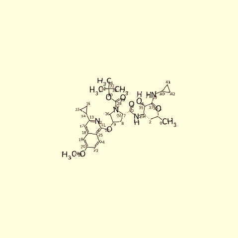 CCC[C@H](NC(=O)[C@@H]1CC(Oc2nc(C3CC3)cc3cc(OC)ccc23)CN1C(=O)OC(C)(C)C)C(O)C(=O)NC1CC1